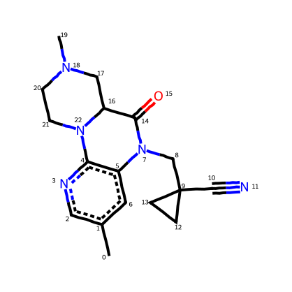 Cc1cnc2c(c1)N(CC1(C#N)CC1)C(=O)C1CN(C)CCN21